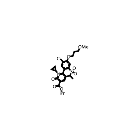 COCCCOc1cc2c(cc1Cl)-c1c(cc(C(=O)OC(C)C)c(=O)n1C1CC1)C(C)S2(=O)=O